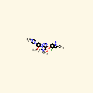 CCN(C)C(=O)c1c(Nc2ccc(N3CCN(C)CC3)cc2OC)ncnc1Oc1ccc2[nH]c(C)cc2c1F